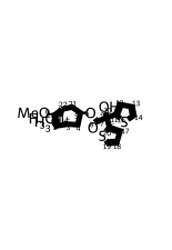 CO[C@H]1CC2C[C@H](OC(=O)C(O)(c3cccs3)c3cccs3)CC1[N+]2(C)C